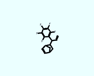 C=CC(c1c(F)c(F)c(F)c(F)c1F)C1CC2C=CC1C2